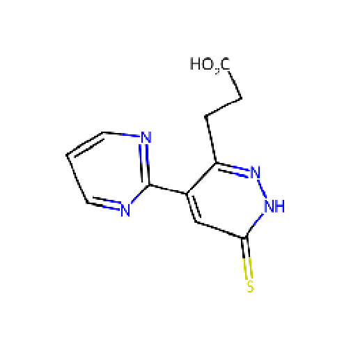 O=C(O)CCc1n[nH]c(=S)cc1-c1ncccn1